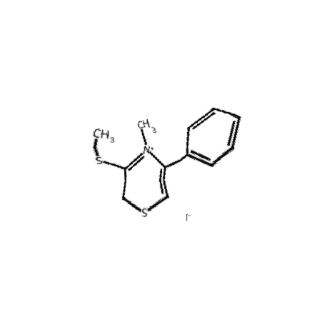 CSC1=[N+](C)C(c2ccccc2)=CSC1.[I-]